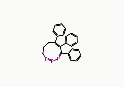 c1ccc(C2=PP=PCCCC(c3ccccc3)=C2c2ccccc2)cc1